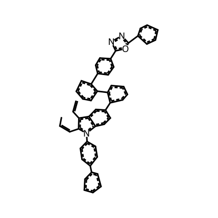 C=Cc1c(/C=C\C)n(-c2ccc(-c3ccccc3)cc2)c2ccc(-c3ccccc3-c3ccccc3-c3ccc(-c4nnc(-c5ccccc5)o4)cc3)cc12